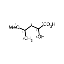 COC(C)CC(O)C(=O)O